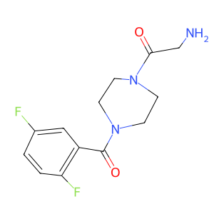 NCC(=O)N1CCN(C(=O)c2cc(F)ccc2F)CC1